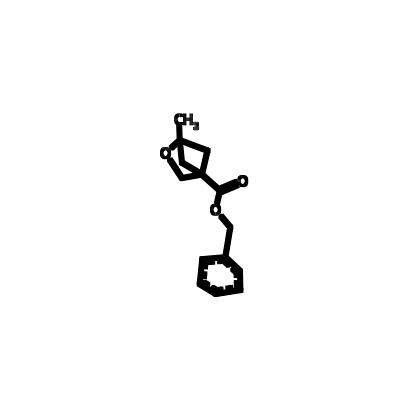 CC12CC(C(=O)OCc3ccccc3)(CO1)C2